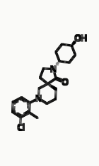 Cc1c(Cl)cccc1N1CCC[C@]2(CCN([C@H]3CC[C@H](O)CC3)C2=O)C1